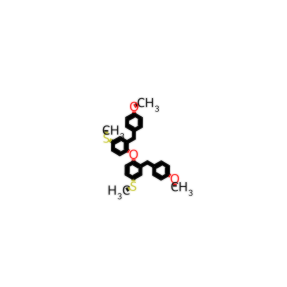 COc1ccc(Cc2cc(SC)ccc2Oc2ccc(SC)cc2Cc2ccc(OC)cc2)cc1